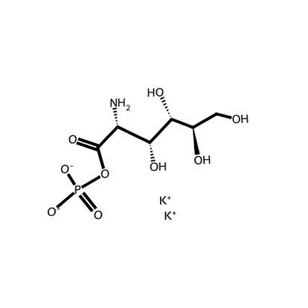 N[C@@H](C(=O)OP(=O)([O-])[O-])[C@@H](O)[C@H](O)[C@H](O)CO.[K+].[K+]